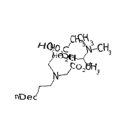 CC(=O)O.CC(C(=O)O)N(C)C.CCCCCCCCCCCCN(CC(=O)O)CC(O)O